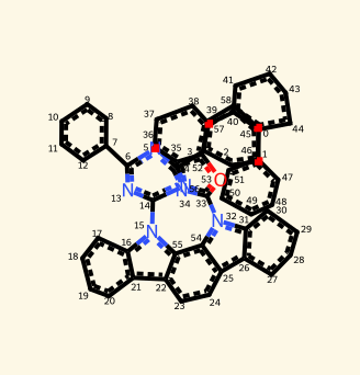 c1ccc(-c2nc(-c3ccccc3)nc(-n3c4ccccc4c4ccc5c6ccccc6n(-c6nc7cccc(-c8ccccc8-c8ccccc8)c7o6)c5c43)n2)cc1